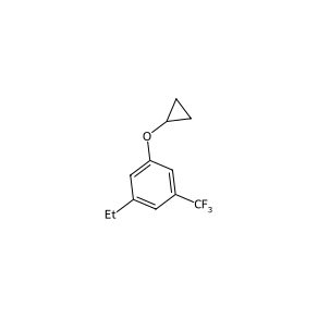 CCc1cc(OC2CC2)cc(C(F)(F)F)c1